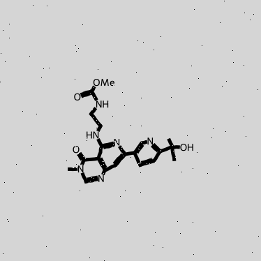 COC(=O)NCCNc1nc(-c2ccc(C(C)(C)O)nc2)cc2ncn(C)c(=O)c12